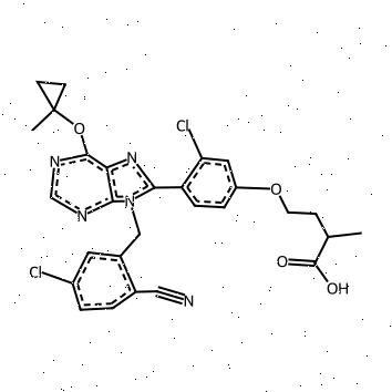 CC(CCOc1ccc(-c2nc3c(OC4(C)CC4)ncnc3n2Cc2cc(Cl)ccc2C#N)c(Cl)c1)C(=O)O